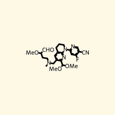 COC(C=O)CCN(C)Cc1cc2c(nc1C(OC)OC)N(c1cc(F)c(C#N)cn1)CCC2